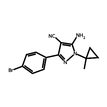 CC1(n2nc(-c3ccc(Br)cc3)c(C#N)c2N)CC1